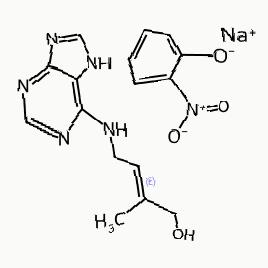 C/C(=C\CNc1ncnc2nc[nH]c12)CO.O=[N+]([O-])c1ccccc1[O-].[Na+]